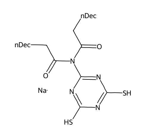 CCCCCCCCCCCC(=O)N(C(=O)CCCCCCCCCCC)c1nc(S)nc(S)n1.[Na]